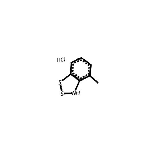 Cc1cccc2c1NSS2.Cl